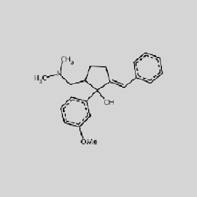 COc1cccc(C2(O)C(=Cc3ccccc3)CCC2CN(C)C)c1